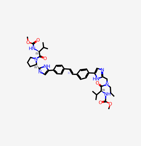 CCCN(Cc1ncc(-c2ccc(/C=C/c3ccc(-c4cnc([C@@H]5CCCN5C(=O)[C@@H](NC(=O)OC)C(C)C)[nH]4)cc3)cc2)[nH]1)C(=O)[C@@H](NC(=O)OC)C(C)C